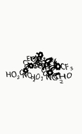 C=CC=O.CCOCN(C(=O)CCl)c1c(C)cccc1CC.CCOCN(C(=O)CCl)c1c(C)cccc1CC.O=C(O)c1cc(Oc2ccc(C(F)(F)F)cc2Cl)ccc1[N+](=O)[O-].O=C(O)c1cc(Oc2ccc(C(F)(F)F)cc2Cl)ccc1[N+](=O)[O-]